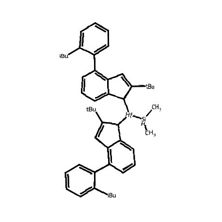 CCC(C)c1ccccc1-c1cccc2c1C=C(C(C)(C)C)[CH]2[Hf]([CH]1C(C(C)(C)C)=Cc2c(-c3ccccc3C(C)CC)cccc21)[SiH](C)C